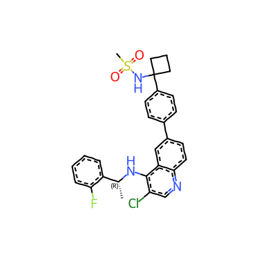 C[C@@H](Nc1c(Cl)cnc2ccc(-c3ccc(C4(NS(C)(=O)=O)CCC4)cc3)cc12)c1ccccc1F